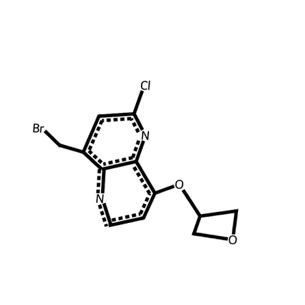 Clc1cc(CBr)c2nccc(OC3COC3)c2n1